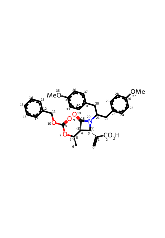 C=C(C(=O)O)[C@@H]1[C@@H]([C@@H](C)OC(=O)OCc2ccccc2)C(=O)N1C(Cc1ccc(OC)cc1)Cc1ccc(OC)cc1